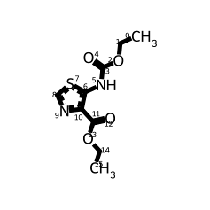 CCOC(=O)Nc1scnc1C(=O)OCC